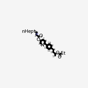 CCCCCCC/C=C/C(=O)Oc1ccc(-c2ccc(CCC(C)OC(=O)CC)cc2)nc1